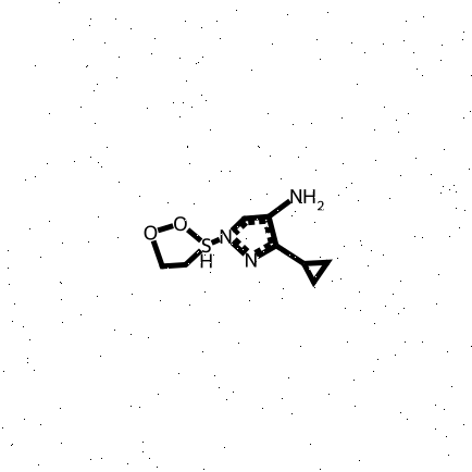 Nc1cn([SH]2CCOO2)nc1C1CC1